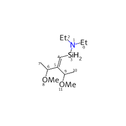 CCN(CC)[SiH2]C=C(C(C)OC)C(C)OC